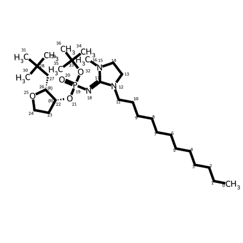 CCCCCCCCCCCCN1CCN(C)C1=NP(=O)(O[C@@H]1CCO[C@@H]1CC(C)(C)C)OC(C)(C)C